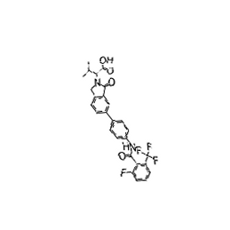 CC(C)C(C(=O)O)N1Cc2ccc(-c3ccc(NC(=O)c4c(F)cccc4C(F)(F)F)cc3)cc2C1=O